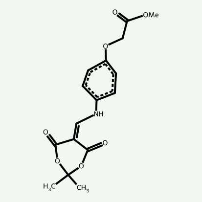 COC(=O)COc1ccc(NC=C2C(=O)OC(C)(C)OC2=O)cc1